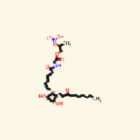 CCCCCCCC(=O)CC[C@@H]1[C@@H](C/C=C\CCCC(=O)NCC(=O)OCC(C)ON(O)O)[C@@H](O)C[C@H]1O